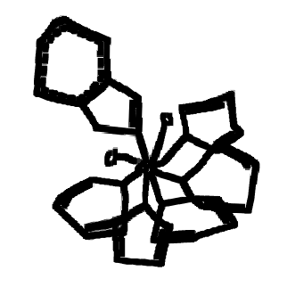 [Cl][Zr]([Cl])([C]1=Cc2ccccc2C1)([CH]1C=CC=C1)([CH]1C=CC=C1)([CH]1C=CC=C1)([CH]1C=CC=C1)[CH]1C=CC=C1